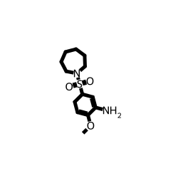 COC1=CCC(S(=O)(=O)N2CCCCCC2)C=C1N